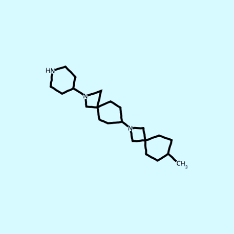 CC1CCC2(CC1)CN(C1CCC3(CC1)CN(C1CCNCC1)C3)C2